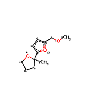 COCc1ccc(C2(C)CCCO2)o1